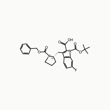 CC(C)(C)OC(=O)n1c(C(=O)O)c(C[C@@H]2CCCN2C(=O)OCc2ccccc2)c2ccc(F)cc21